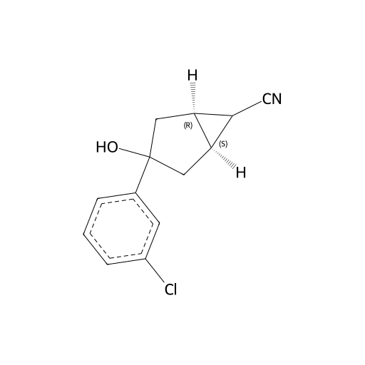 N#CC1[C@H]2CC(O)(c3cccc(Cl)c3)C[C@@H]12